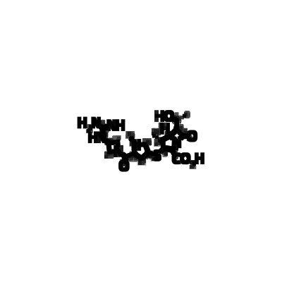 C[C@@H](O)[C@H]1C(=O)N2C(C(=O)O)=C(S[C@H]3C[C@@H](C(=O)N4CC(NC(=N)N)C4)N(C)C3)[C@H](C)[C@H]12